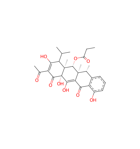 CCC(=O)O[C@@H]1[C@]2(C)C(=C(O)[C@@]3(O)C(=O)C(C(C)=O)=C(O)C(C(C)C)[C@@]13C)C(=O)c1c(O)cccc1[C@H]2C